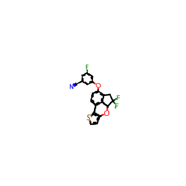 N#Cc1cc(F)cc(Oc2ccc3c4c2CC(F)(F)C4Oc2ccsc2-3)c1